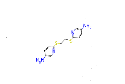 Nc1ccc(SCCSc2ccc(N)cn2)nc1